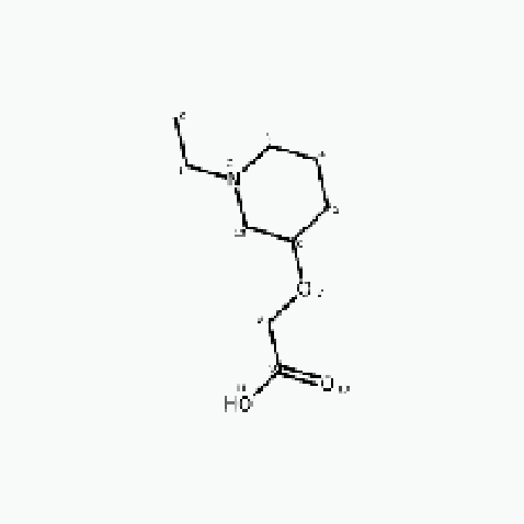 CCN1CCCC(OCC(=O)O)C1